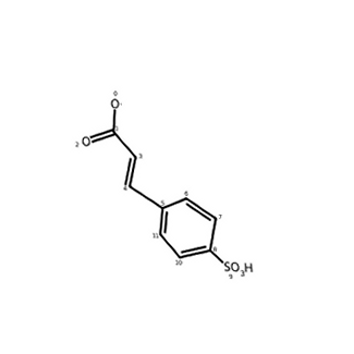 [O]C(=O)C=Cc1ccc(S(=O)(=O)O)cc1